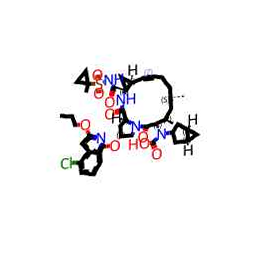 CCCOc1cc2c(Cl)cccc2c(O[C@@H]2C[C@H]3C(=O)N[C@]4(C(=O)NS(=O)(=O)C5(C)CC5)C[C@H]4/C=C\CC[C@H](C)C[C@@H](C)[C@H](N(C(=O)O)C4C[C@@H]5C[C@H]5C4)C(=O)N3C2)n1